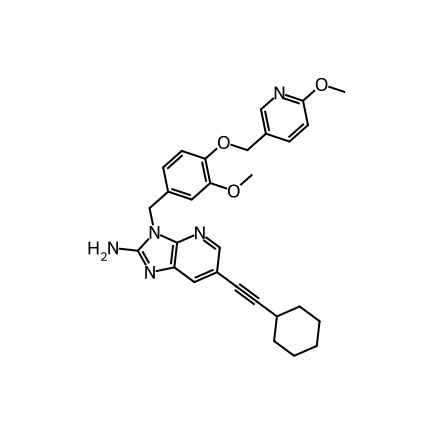 COc1ccc(COc2ccc(Cn3c(N)nc4cc(C#CC5CCCCC5)cnc43)cc2OC)cn1